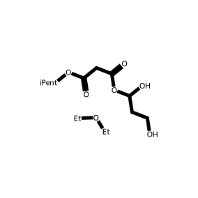 CCCC(C)OC(=O)CC(=O)OC(O)CCO.CCOCC